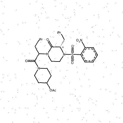 CC(=O)OC1CCN(C(=O)C(CC(C)C)N2CCN(S(=O)(=O)c3ccccc3[N+](=O)[O-])[C@@H](CC(C)C)C2=O)CC1